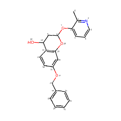 Cc1ncccc1OC1CC(O)c2ccc(OCc3ccccc3)cc2O1